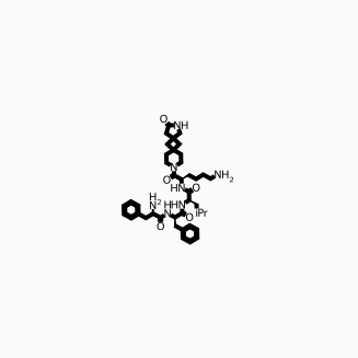 CC(C)C[C@@H](NC(=O)[C@@H](Cc1ccccc1)NC(=O)[C@H](N)Cc1ccccc1)C(=O)N[C@H](CCCCN)C(=O)N1CCC2(CC1)CC1(CNC(=O)C1)C2